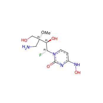 CO[C@](CN)(CO)[C@@H](O)[C@@H](F)n1ccc(NO)nc1=O